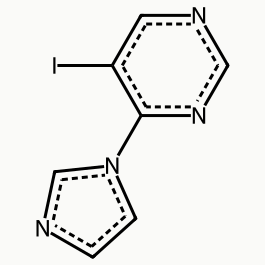 Ic1cncnc1-n1ccnc1